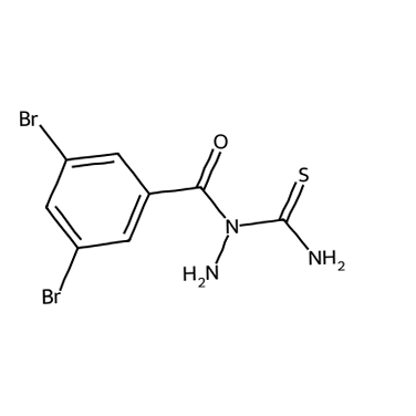 NC(=S)N(N)C(=O)c1cc(Br)cc(Br)c1